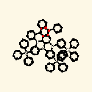 c1ccc(-c2ccccc2N2c3cc([Si](c4ccccc4)(c4ccccc4)c4ccccc4)ccc3B3c4ccc([Si](c5ccccc5)(c5ccccc5)c5ccccc5)cc4N(c4cccc([Si](c5ccccc5)(c5ccccc5)c5ccccc5)c4)c4cc(N(c5ccccc5)c5ccccc5)cc2c43)cc1